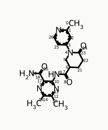 Cc1cc(N2CC(C(=O)Nc3nc(C)c(C)nc3C(N)=O)CCC2=O)ccn1